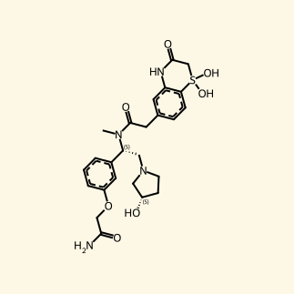 CN(C(=O)Cc1ccc2c(c1)NC(=O)CS2(O)O)[C@H](CN1CC[C@H](O)C1)c1cccc(OCC(N)=O)c1